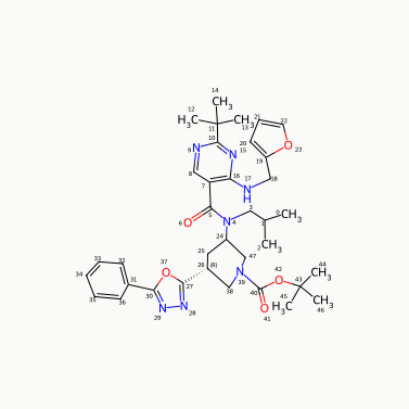 CC(C)CN(C(=O)c1cnc(C(C)(C)C)nc1NCc1ccco1)C1C[C@@H](c2nnc(-c3ccccc3)o2)CN(C(=O)OC(C)(C)C)C1